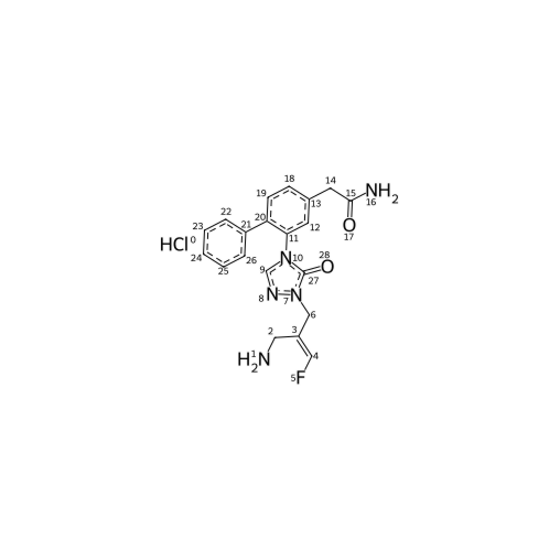 Cl.NC/C(=C\F)Cn1ncn(-c2cc(CC(N)=O)ccc2-c2ccccc2)c1=O